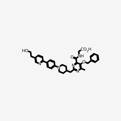 Cc1nc(CC2CCN(c3ccc(-c4ccc(CCO)cn4)cc3)CC2)nc(C(=O)NCC(=O)O)c1OCc1ccccc1